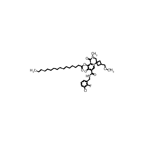 CCCCCCCCCCCCCCCC(=O)Oc1c2n(cc(C(=O)NCc3cccc(Cl)c3F)c1=O)C1(CC(COC)C1)CN(C)C2=O